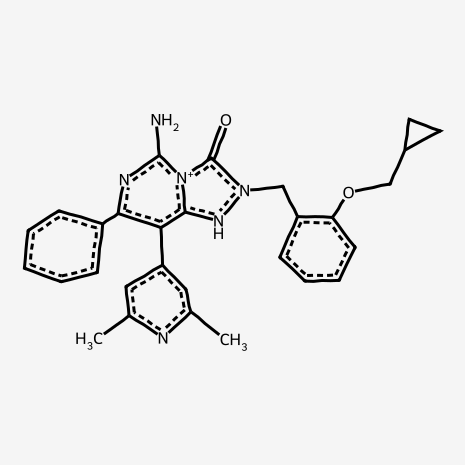 Cc1cc(-c2c(-c3ccccc3)nc(N)[n+]3c(=O)n(Cc4ccccc4OCC4CC4)[nH]c23)cc(C)n1